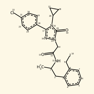 CC(Cc1ccccc1CI)NC(=O)Cn1nc(-c2ccc(Cl)cc2)n(C2CC2)c1=O